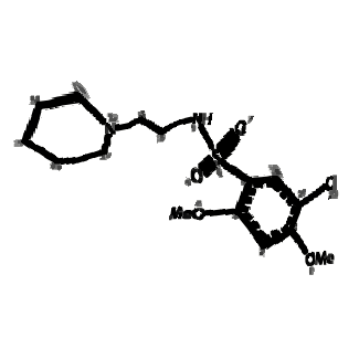 COc1cc(OC)c(S(=O)(=O)NCCN2CCCCC2)cc1Cl